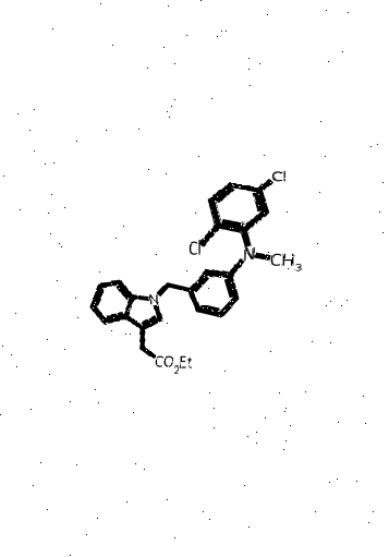 CCOC(=O)Cc1cn(Cc2cccc(N(C)c3cc(Cl)ccc3Cl)c2)c2ccccc12